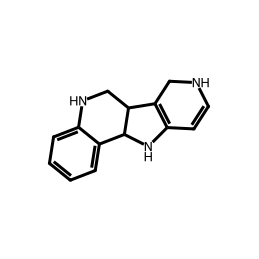 C1=CC2=C(CN1)C1CNc3ccccc3C1N2